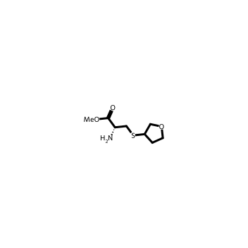 COC(=O)[C@@H](N)CSC1CCOC1